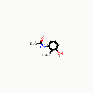 CC(C)COC(=O)Nc1cccc(O)c1C(=O)O